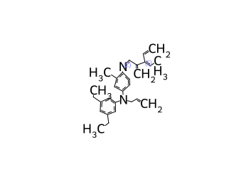 C=CCN(c1cc(CC)cc(CC)c1)c1ccc(/N=C\C(=C)/C(C=C)=C/C)c(C)c1